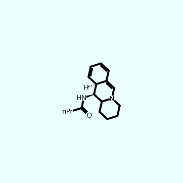 CCCC(=O)N[C@@H]1C2CCCCN2C=C2C=CC=C[C@@H]21